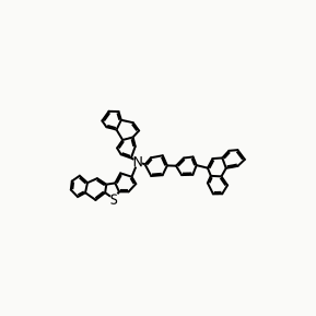 c1ccc2cc3c(cc2c1)sc1ccc(N(c2ccc(-c4ccc(-c5cc6ccccc6c6ccccc56)cc4)cc2)c2ccc4c(ccc5ccccc54)c2)cc13